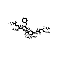 CC(=O)N[C@@H](CCC(N)=O)C(=O)N[C@@H](CC1CCCCC1)C(=O)N[C@@H](CC(=O)O)C(=O)N[C@@H](CC(C)C)C(=O)NCC(=O)N[C@@H](CC(C)(C)C)C(=O)O